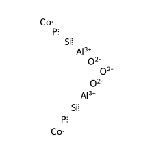 [Al+3].[Al+3].[Co].[Co].[O-2].[O-2].[O-2].[P].[P].[Si].[Si]